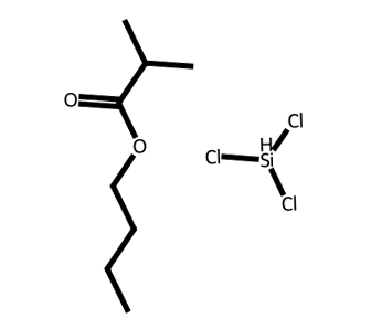 CCCCOC(=O)C(C)C.Cl[SiH](Cl)Cl